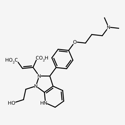 CN(C)CCCOc1ccc(C2C3=C(NCC=C3)N(CCO)N2/C(=C/C(=O)O)C(=O)O)cc1